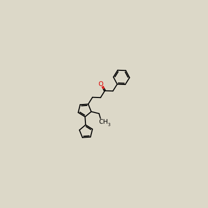 CCC1C(CCC(=O)Cc2ccccc2)=CC=C1C1=CC=CC1